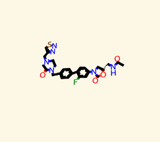 CC(=O)NC[C@H]1CN(c2ccc(-c3ccc(CN4CCN(Cc5csnn5)CC4=O)cc3)c(F)c2)C(=O)O1